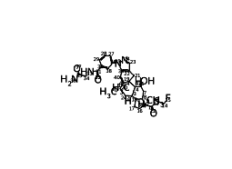 C[C@H]1C[C@@H]2[C@H]([C@@H](O)C[C@@]3(C)[C](C(=O)SCF)CC[C@@H]23)[C@@]2(C)Cc3cnn(-c4cccc(C(=O)NCC(N)=O)c4)c3C=C12